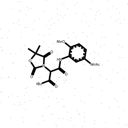 COc1ccc(NC(C)=O)cc1NC(=O)C(C(=O)C(C)(C)C)N1C(=O)OC(C)(C)C1=O